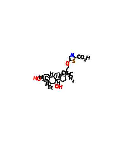 CC[C@H]1[C@@H](O)[C@@H]2[C@H](CC[C@]3(C)[C@@H]([C@H](C)CCOc4cnc(C(=O)O)s4)CC[C@@H]23)[C@@]2(C)CC[C@@H](O)C[C@@H]12